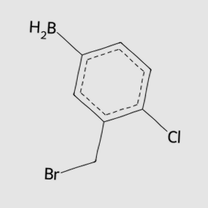 Bc1ccc(Cl)c(CBr)c1